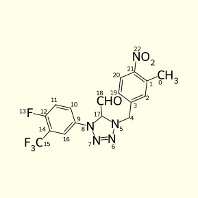 Cc1cc(CN2N=NN(c3ccc(F)c(C(F)(F)F)c3)C2C=O)ccc1[N+](=O)[O-]